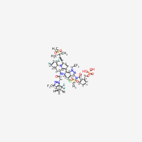 CC(C)(C#Cc1ccc(-c2ccc(Cl)c3c(N(C(=O)c4ccccc4COP(=O)(O)O)S(C)(=O)=O)nn(CC(F)(F)F)c23)c(C(Cc2cc(F)cc(F)c2)NC(=O)Cn2nc(C(F)(F)F)c3c2C(F)(F)[C@@H]2C[C@H]32)n1)S(C)(=O)=O